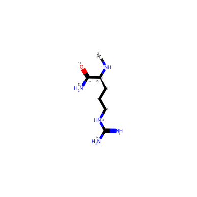 CC(C)N[C@@H](CCCNC(=N)N)C(N)=O